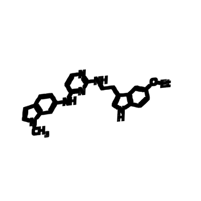 CCOc1ccc2[nH]cc(CCNc3nccc(Nc4ccc5ccn(C)c5c4)n3)c2c1